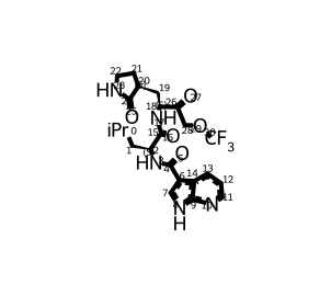 CC(C)C[C@H](NC(=O)c1c[nH]c2ncccc12)C(=O)N[C@@H](C[C@@H]1CCNC1=O)C(=O)COC(F)(F)F